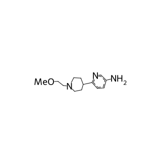 COCCN1CCC(c2ccc(N)cn2)CC1